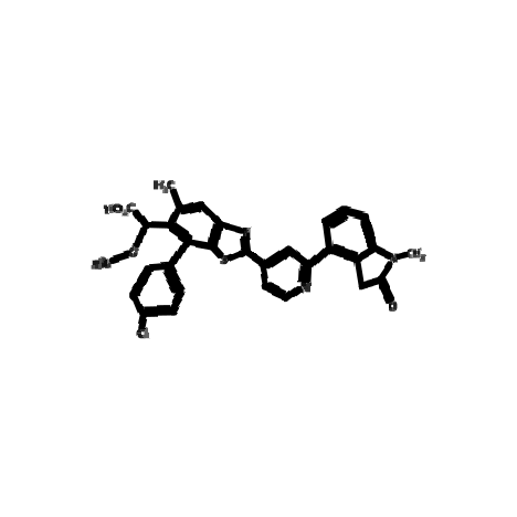 CCCCOC(C(=O)O)c1c(C)cc2nc(-c3ccnc(-c4cccc5c4CC(=O)N5C)c3)sc2c1-c1ccc(Cl)cc1